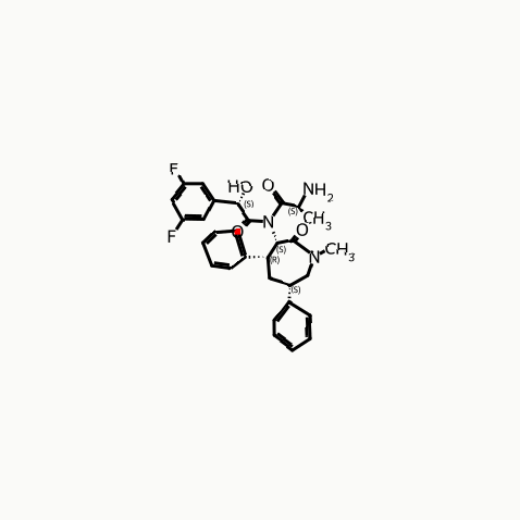 C[C@H](N)C(=O)N(C(=O)[C@@H](O)c1cc(F)cc(F)c1)[C@@H]1C(=O)N(C)C[C@H](c2ccccc2)C[C@@H]1c1ccccc1